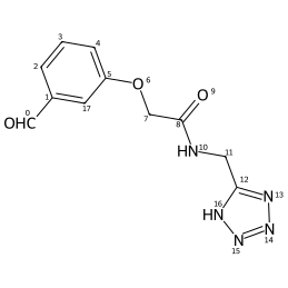 O=Cc1cccc(OCC(=O)NCc2nnn[nH]2)c1